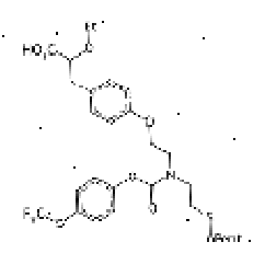 CCCCCSCCN(CCOc1ccc(CC(OCC)C(=O)O)cc1)C(=O)Oc1ccc(OC(F)(F)F)cc1